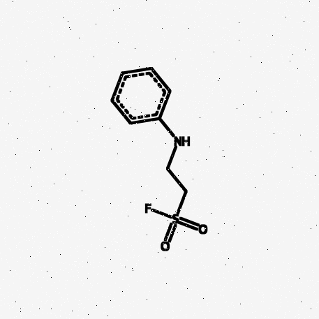 O=S(=O)(F)CCNc1ccccc1